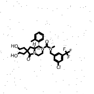 Cc1ccccc1[C@H]1[C@@H]2CC(CCO)(CCO)C(=O)N2CCN1C(=O)N(C)Cc1cc(Cl)cc(C(F)(F)F)c1